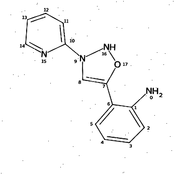 Nc1ccccc1C1=CN(c2ccccn2)NO1